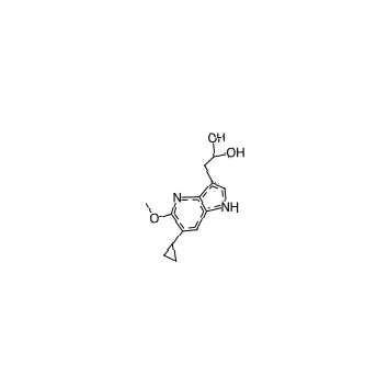 COc1nc2c(CC(O)O)c[nH]c2cc1C1CC1